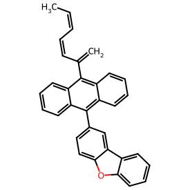 C=C(/C=C\C=C/C)c1c2ccccc2c(-c2ccc3oc4ccccc4c3c2)c2ccccc12